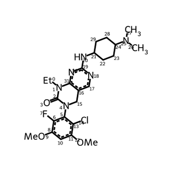 CCN1C(=O)N(c2c(F)c(OC)cc(OC)c2Cl)Cc2cnc(NC3CCC(N(C)C)CC3)nc21